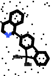 CCCCC1(CCCC)c2ccccc2-c2ccc(-c3nccc4ccccc34)cc21